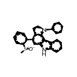 C[S+]([O-])c1ccccc1-c1cc2[nH]c3ccccc3c2c2c1ccn2-c1ccccc1